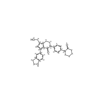 O=C1CCCCN1c1ccc(N2CCc3c(CO)nn(-c4ccc5c(c4)CCO5)c3C2=O)cc1